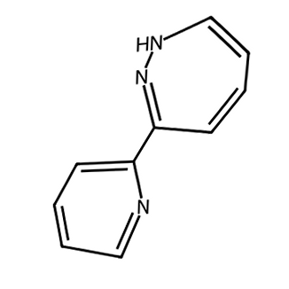 C1=CNN=C(c2ccccn2)C=C1